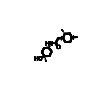 C[C@@H]1CN(C)CCN1CC(=O)N[C@H]1CC[C@](C)(O)CC1